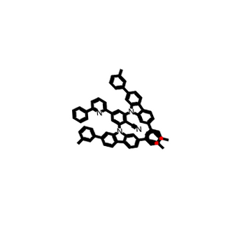 Cc1cccc(-c2ccc3c4ccc(-c5cccc(C)c5)cc4n(-c4cc(-c5cccc(-c6ccccc6)n5)cc(-n5c6cc(-c7cccc(C)c7)ccc6c6ccc(-c7cccc(C)c7)cc65)c4C#N)c3c2)c1